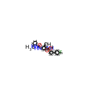 Cc1ccccc1NC(=O)Nc1ccc(NS(=O)(=O)c2cccc(-c3ccc(F)cc3)c2)c(C)c1